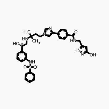 CC(C)(CCn1cnc(-c2ccc(C(=O)NCc3cc(O)n[nH]3)cc2)c1)NC[C@H](O)c1cccc(NS(=O)(=O)c2ccccc2)c1